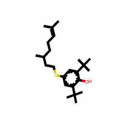 CC(C)=CCCC(C)CCSc1cc(C(C)(C)C)c(O)c(C(C)(C)C)c1